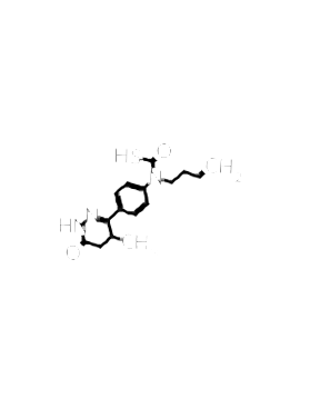 C=CCCN(C(=O)S)c1ccc(C2=NNC(=O)CC2C)cc1